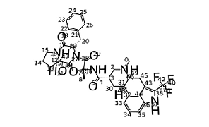 CN1CC(C(=O)N[C@]2(C)O[C@@]3(O)[C@@H]4CCCN4C(=O)[C@H](Cc4ccccc4)N3C2=O)C[C@@H]2c3cccc4[nH]c(C(F)(F)F)c(c34)C[C@H]21